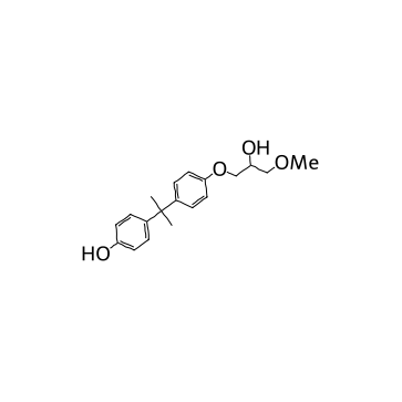 COCC(O)COc1ccc(C(C)(C)c2ccc(O)cc2)cc1